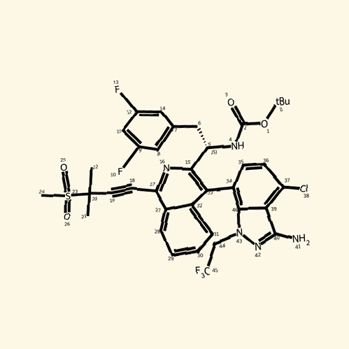 CC(C)(C)OC(=O)N[C@@H](Cc1cc(F)cc(F)c1)c1nc(C#CC(C)(C)S(C)(=O)=O)c2ccccc2c1-c1ccc(Cl)c2c(N)nn(CC(F)(F)F)c12